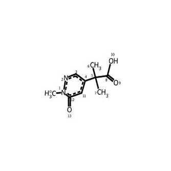 Cn1ncc(C(C)(C)C(=O)O)cc1=O